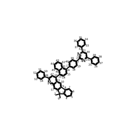 CC1(C)c2ccccc2-c2cc3c(-c4ccc(-c5ccc(-c6nc(-c7ccccc7)cc(-c7ccccc7)n6)cc5)c5ccccc45)cc(-c4ccccc4)nc3cc21